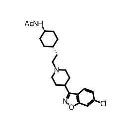 CC(=O)N[C@H]1CC[C@H](CCN2CCC(c3noc4cc(Cl)ccc34)CC2)CC1